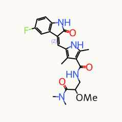 COC(CNC(=O)c1c(C)[nH]c(/C=C2\C(=O)Nc3ccc(F)cc32)c1C)C(=O)N(C)C